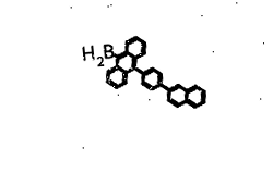 Bc1c2ccccc2c(-c2ccc(-c3ccc4ccccc4c3)cc2)c2ccccc12